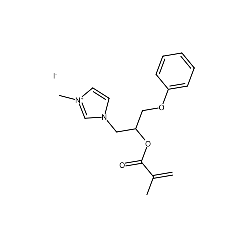 C=C(C)C(=O)OC(COc1ccccc1)Cn1cc[n+](C)c1.[I-]